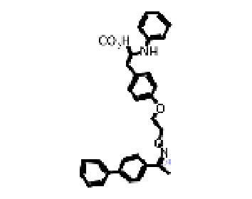 C/C(=N/OCCOc1ccc(CC(Nc2ccccc2)C(=O)O)cc1)c1ccc(-c2ccccc2)cc1